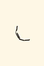 C/C=I\C